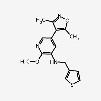 COc1ncc(-c2c(C)noc2C)cc1NCc1ccsc1